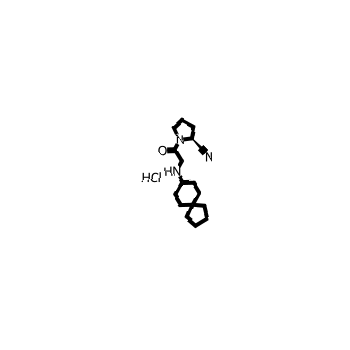 Cl.N#C[C@@H]1CCCN1C(=O)CNC1CCC2(CCCC2)CC1